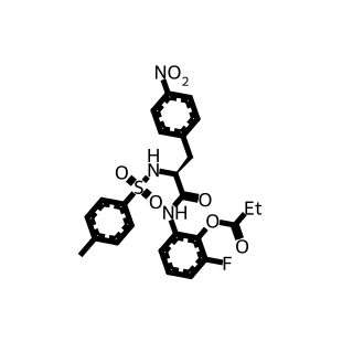 CCC(=O)Oc1c(F)cccc1NC(=O)[C@H](Cc1ccc([N+](=O)[O-])cc1)NS(=O)(=O)c1ccc(C)cc1